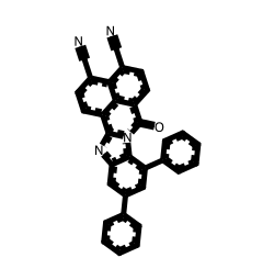 N#Cc1ccc2c(=O)n3c(nc4cc(-c5ccccc5)cc(-c5ccccc5)c43)c3ccc(C#N)c1c23